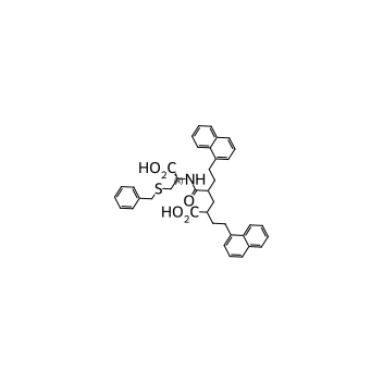 O=C(O)C(CCc1cccc2ccccc12)CC(CCc1cccc2ccccc12)C(=O)N[C@@H](CSCc1ccccc1)C(=O)O